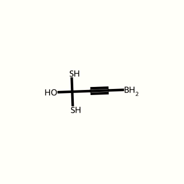 BC#CC(O)(S)S